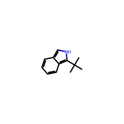 CC(C)(C)c1[nH]cc2ccccc12